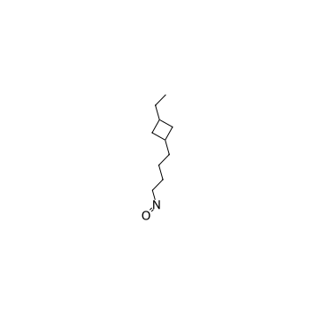 CCC1CC(CCCCN=O)C1